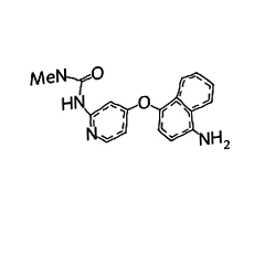 CNC(=O)Nc1cc(Oc2ccc(N)c3ccccc23)ccn1